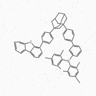 Cc1cc(C)c(B(c2cccc(-c3ccc(C45CC6CC(C4)CC(c4ccc(-c7cccc8c7sc7ccccc78)cc4)(C6)C5)cc3)c2)c2c(C)cc(C)cc2C)c(C)c1